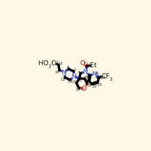 CCC(=O)N(CC1(N2CCN(CCC(=O)O)CC2)CCOCC1)c1cccc(C(F)(F)F)n1